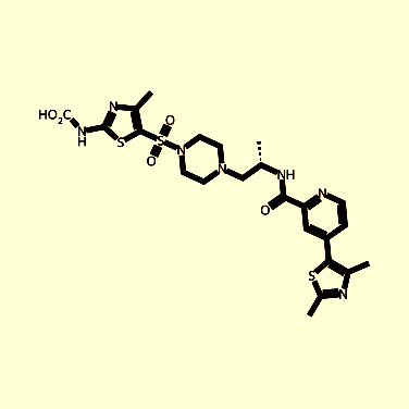 Cc1nc(C)c(-c2ccnc(C(=O)N[C@@H](C)CN3CCN(S(=O)(=O)c4sc(NC(=O)O)nc4C)CC3)c2)s1